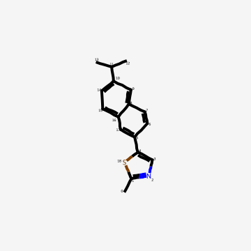 Cc1ncc(-c2ccc3cc(C(C)C)ccc3c2)s1